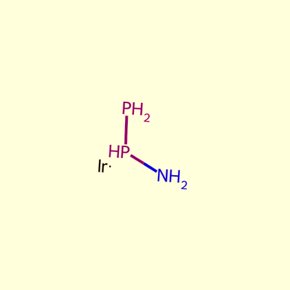 NPP.[Ir]